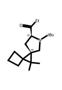 CCC(=O)[C@@H]1C[C@@]2(CN1C(C)(C)C)C(C)(C)C21CCC1